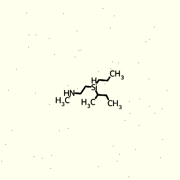 CCC[SiH](CCNC)C(C)CC